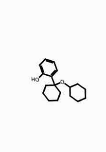 Oc1ccccc1C1(OC2CCCCC2)CCCCC1